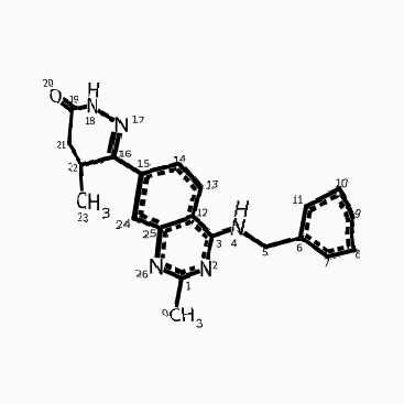 Cc1nc(NCc2ccccc2)c2ccc(C3=NNC(=O)CC3C)cc2n1